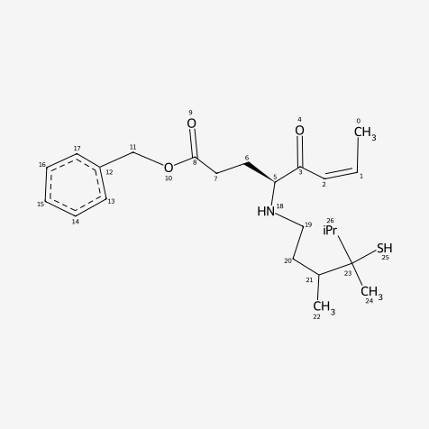 C/C=C\C(=O)[C@H](CCC(=O)OCc1ccccc1)NCCC(C)C(C)(S)C(C)C